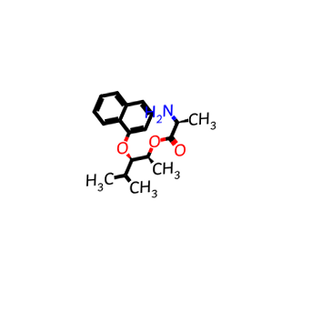 CC(C)[C@@H](Oc1cccc2ccccc12)[C@H](C)OC(=O)[C@H](C)N